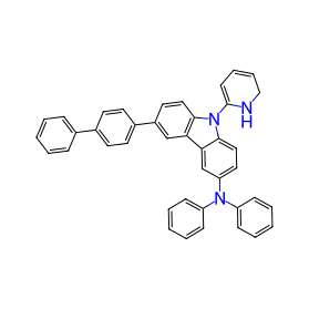 C1=CCNC(n2c3ccc(-c4ccc(-c5ccccc5)cc4)cc3c3cc(N(c4ccccc4)c4ccccc4)ccc32)=C1